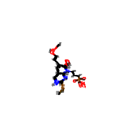 COCCc1cc2cnc(SC)nc2n(CCCS(=O)(=O)O)c1=O